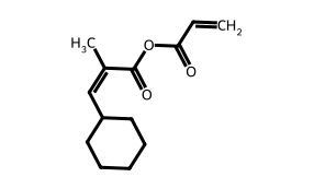 C=CC(=O)OC(=O)C(C)=CC1CCCCC1